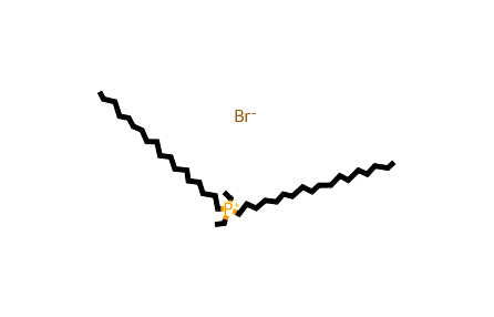 CCCCCCCCCCCCCCCCCC[P+](CC)(CC)CCCCCCCCCCCCCCCCCC.[Br-]